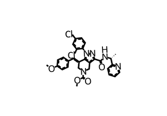 COC(=O)N1C/C(=C\c2ccc(OC)cc2)c2c(c(C(=O)N[C@H](C)c3ccccn3)nn2-c2ccc(Cl)cc2Cl)C1